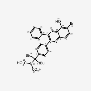 CC(C)(C)C(c1ccc(-c2nc3ccc(Br)c(O)c3nc2-c2ccccc2)cc1)(N(C(=O)O)C(=O)O)C(C)(C)C